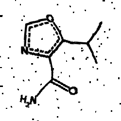 CC(C)c1ocnc1C(N)=O